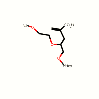 C=C(CC(COCCCCCC)OCCOCC)C(=O)O